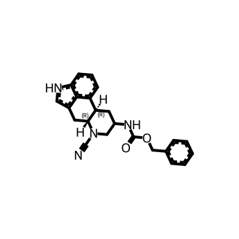 N#CN1CC(NC(=O)OCc2ccccc2)C[C@@H]2c3cccc4[nH]cc(c34)C[C@H]21